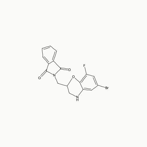 O=C1c2ccccc2C(=O)N1CC1CNc2cc(Br)cc(F)c2O1